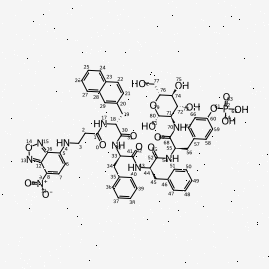 O=C(CCNc1ccc([N+](=O)[O-])c2nonc12)N[C@H](Cc1ccc2ccccc2c1)C(=O)N[C@H](Cc1ccccc1)C(=O)N[C@H](Cc1ccccc1)C(=O)N[C@H](Cc1ccc(OP(=O)(O)O)cc1)C(=O)N[C@@H]1[C@@H](O)[C@H](O)[C@@H](CO)O[C@H]1O